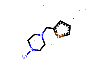 NN1CCN(Cc2cccs2)CC1